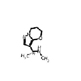 CN[C@H](C)c1cnn2c1OCCC2